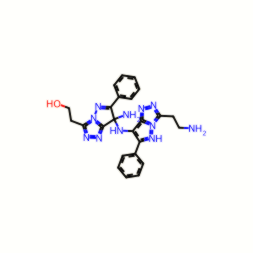 NCCc1nnc2c(NC3(N)C(c4ccccc4)=Nn4c(CCO)nnc43)c(-c3ccccc3)[nH]n12